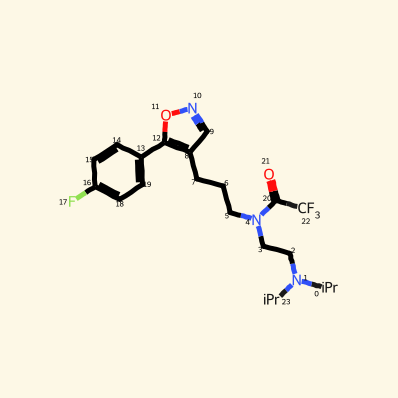 CC(C)N(CCN(CCCc1cnoc1-c1ccc(F)cc1)C(=O)C(F)(F)F)C(C)C